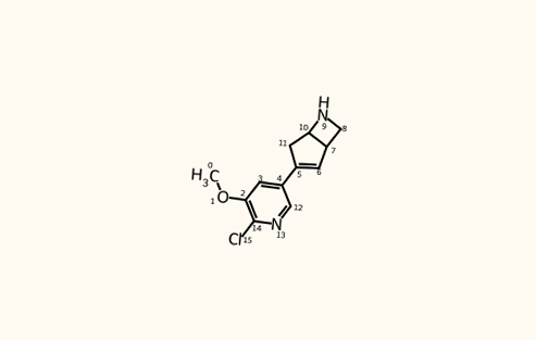 COc1cc(C2=CC3CNC3C2)cnc1Cl